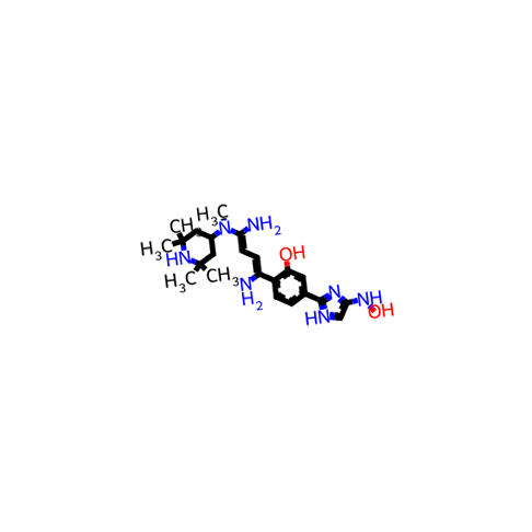 CN(/C(N)=C/C=C(\N)c1ccc(-c2nc(NO)c[nH]2)cc1O)C1CC(C)(C)NC(C)(C)C1